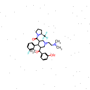 Cc1c(F)cccc1C1C(C(=O)c2cccc(O)c2)CN(CCN(C)C)CC1C(=O)N1CCC[C@H]1C(F)(F)F